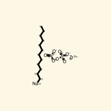 CCCCCCCCCCC[CH2][Na].O=S(=O)([O-])[O-].O=[N+]([O-])[O-].[Zr+3]